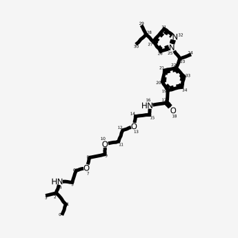 CCC(C)NCCOCCOCCOCCNC(=O)c1ccc(C(C)n2cc(C(C)C)cn2)cc1